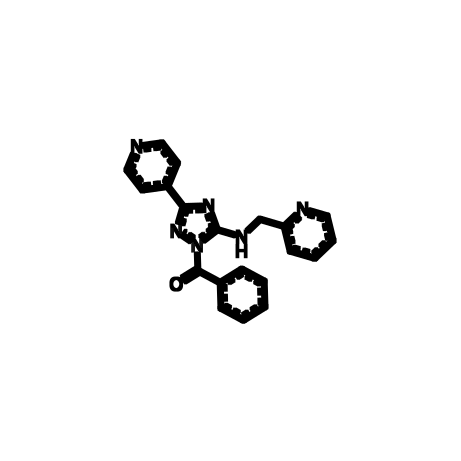 O=C(c1ccccc1)n1nc(-c2ccncc2)nc1NCc1ccccn1